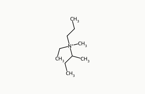 CCC[N+](C)(CC)C(C)CC